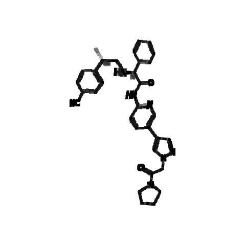 C[C@H](CN[C@H](C(=O)Nc1ccc(-c2cnn(CC(=O)N3CCCC3)c2)cn1)c1ccccc1)c1ccc(C#N)cc1